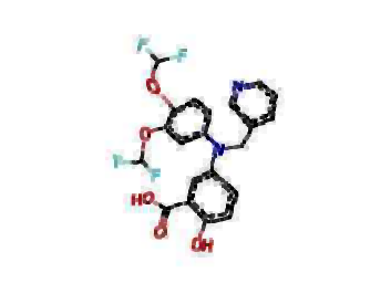 O=C(O)c1cc(N(Cc2cccnc2)c2ccc(OC(F)F)c(OC(F)F)c2)ccc1O